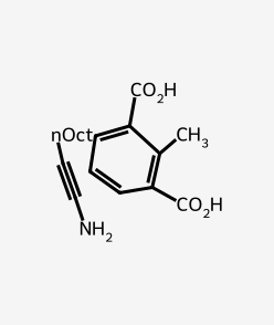 CCCCCCCCC#CN.Cc1c(C(=O)O)cccc1C(=O)O